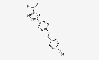 N#Cc1ccc(OCc2ncc(-c3nnc(C(F)F)o3)cn2)cc1